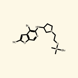 CC(C)(C)[Si](C)(C)OCCN1CCC(Nc2ncc3oc(C#N)cc3c2Br)C1